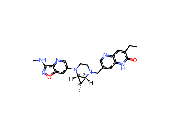 CCc1cc2ncc(CN3CCN(c4cnc5c(NC)noc5c4)[C@H]4[C@@H](C)[C@H]43)cc2[nH]c1=O